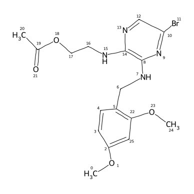 COc1ccc(CNc2nc(Br)cnc2NCCOC(C)=O)c(OC)c1